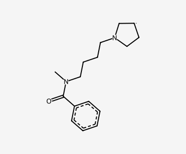 CN(CCCCN1C[CH]CC1)C(=O)c1ccccc1